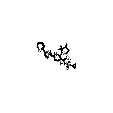 CC1CCN(c2nc(-n3ccc(-c4ccccn4)n3)ccc2C(=O)NS(=O)(=O)C2CC2)C1(C)C